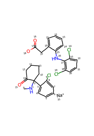 CNC1(c2ccccc2Cl)CCCCC1=O.O=C([O-])Cc1ccccc1Nc1c(Cl)cccc1Cl.[Na+]